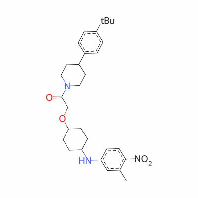 Cc1cc(NC2CCC(OCC(=O)N3CCC(c4ccc(C(C)(C)C)cc4)CC3)CC2)ccc1[N+](=O)[O-]